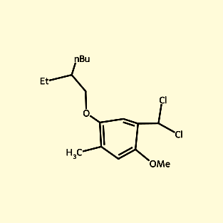 CCCCC(CC)COc1cc(C(Cl)Cl)c(OC)cc1C